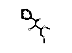 COCC(OC)C(Cl)C(=O)c1ccccc1